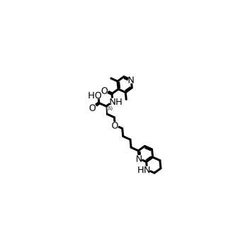 Cc1cncc(C)c1C(=O)N[C@@H](CCOCCCCc1ccc2c(n1)NCCC2)C(=O)O